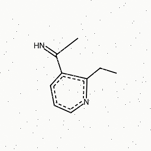 CCc1ncccc1C(C)=N